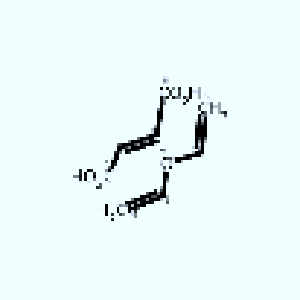 C=COC=C.O=C(O)C=CC(=O)O